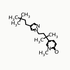 Cn1cc(C(C)(C)CCn2cc(CCC(C)(C)C)cn2)ccc1=O